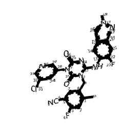 Cc1cc(F)c(C#N)cc1Cn1c(Nc2cc3cn(C)nc3cc2F)nc(=O)n(-c2cncc(Cl)c2)c1=O